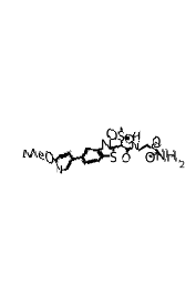 COc1ccc(-c2ccc3sc(C(C(=O)NCCS(N)(=O)=O)S(C)(=O)=O)nc3c2)cn1